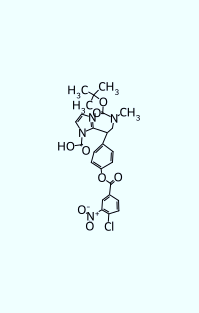 CN(CC(c1ccc(OC(=O)c2ccc(Cl)c([N+](=O)[O-])c2)cc1)c1nccn1C(=O)O)C(=O)OC(C)(C)C